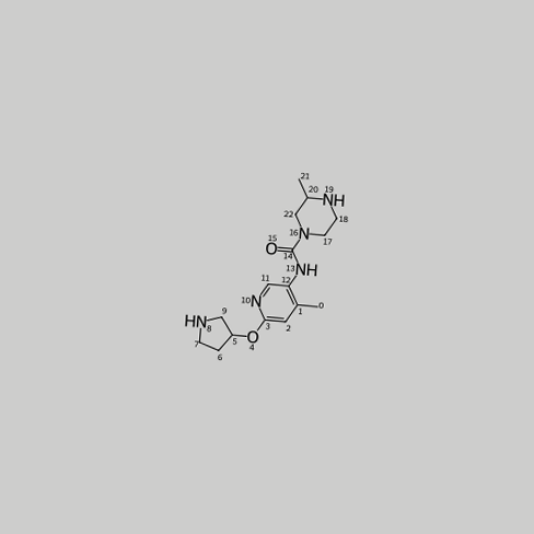 Cc1cc(OC2CCNC2)ncc1NC(=O)N1CCNC(C)C1